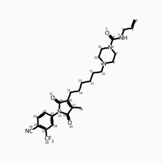 C=CCNC(=O)N1CCN(CCCCCCC2=C(C)C(=O)N(c3ccc(C#N)c(C(F)(F)F)c3)C2=O)CC1